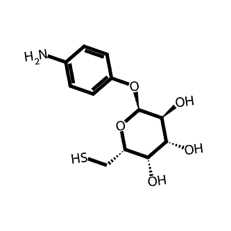 Nc1ccc(O[C@@H]2O[C@@H](CS)[C@@H](O)[C@@H](O)[C@@H]2O)cc1